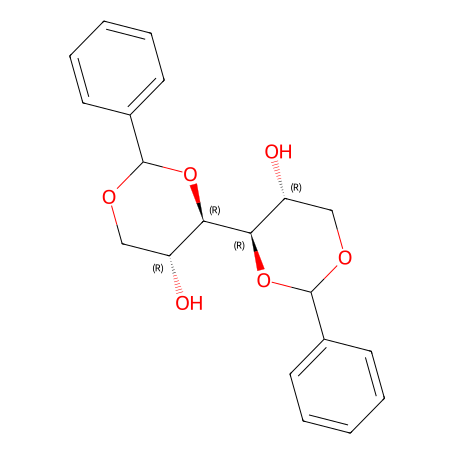 O[C@@H]1COC(c2ccccc2)O[C@H]1[C@@H]1OC(c2ccccc2)OC[C@H]1O